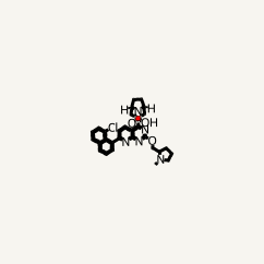 CN1CCCC1COc1nc(N2C[C@H]3CC[C@@H](C2)N3C(=O)O)c2ccc(-c3cccc4cccc(Cl)c34)nc2n1